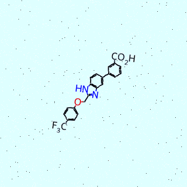 O=C(O)c1cccc(-c2ccc3[nH]c(COc4ccc(C(F)(F)F)cc4)nc3c2)c1